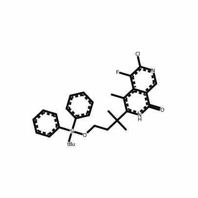 Cc1c(C(C)(C)CCO[Si](c2ccccc2)(c2ccccc2)C(C)(C)C)[nH]c(=O)c2cnc(Cl)c(F)c12